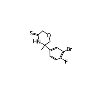 CC1(c2ccc(F)c(Br)c2)COCC(=S)N1